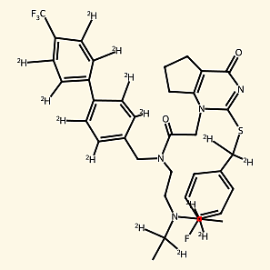 [2H]c1c([2H])c(-c2c([2H])c([2H])c(C(F)(F)F)c([2H])c2[2H])c([2H])c([2H])c1CN(CCN(C([2H])([2H])C)C([2H])([2H])C)C(=O)Cn1c(SC([2H])([2H])c2ccc(F)cc2)nc(=O)c2c1CCC2